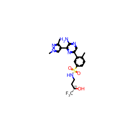 Cc1ccc(S(=O)(=O)NCC[C@H](O)C(F)(F)F)cc1-c1cnc(N)c(-c2cn(C)nc2C)n1